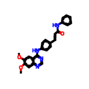 COc1cc2ncnc(Nc3ccc(/C=C/C(=O)Nc4ccccc4)cc3)c2cc1OC